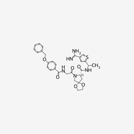 CC(NC(=O)[C@@H]1CC2(CN1C(=O)CNC(=O)c1ccc(OCc3ccccc3)cc1)OCCO2)c1cc(C(=N)N)cs1